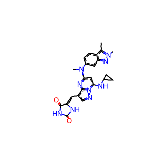 Cc1c2ccc(N(C)c3cc(NC4CC4)n4ncc(/C=C5\NC(=O)NC5=O)c4n3)cc2nn1C